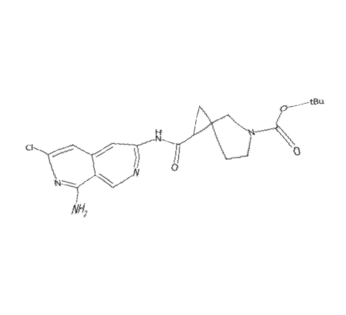 CC(C)(C)OC(=O)N1CCC2(CC2C(=O)Nc2cc3cc(Cl)nc(N)c3cn2)C1